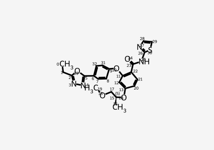 CCc1nnc(-c2ccc(Oc3cc(O[C@@H](C)COC)ccc3C(=O)Nc3nccs3)cc2)o1